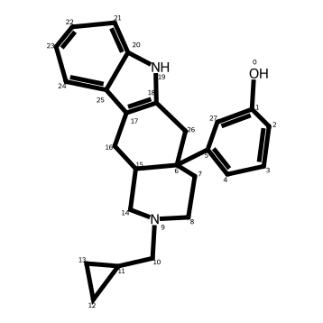 Oc1cccc(C23CCN(CC4CC4)CC2Cc2c([nH]c4ccccc24)C3)c1